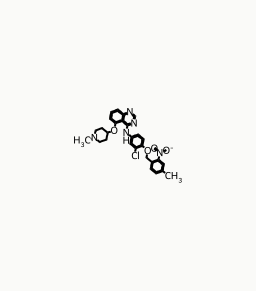 Cc1ccc(COc2ccc(Nc3ncnc4cccc(OC5CCN(C)CC5)c34)cc2Cl)c([N+](=O)[O-])c1